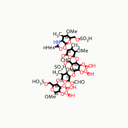 CCCCCCC(=O)NC1C(C)[C@H](OC)C(COS(=O)(=O)O)O[C@H]1O[C@@H]1C(OC=O)O[C@@H](O[C@@H]2C(COS(=O)(=O)O)O[C@H](O[C@H]3C(OC)C(C)[C@@H](O[C@@H]4C(COS(=O)(=O)O)O[C@H](OC)C(OOO)[C@H]4OOO)O[C@H]3OC=O)C(OOO)C2OOO)C(OC)C1C